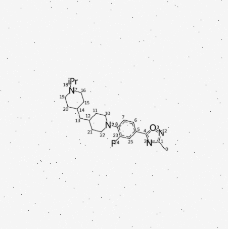 Cc1noc(-c2ccc(N3CCC(CC4CCN(C(C)C)CC4)CC3)c(F)c2)n1